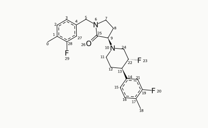 Cc1ccc(CN2CC[C@@H](N3CC[C@H](c4ccc(C)c(F)c4)[C@@H](F)C3)C2=O)cc1F